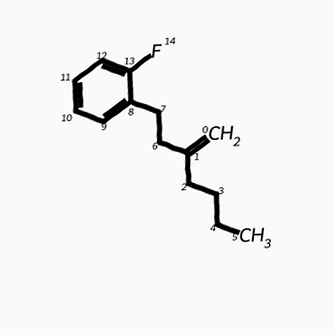 C=C(CCCC)CCc1ccccc1F